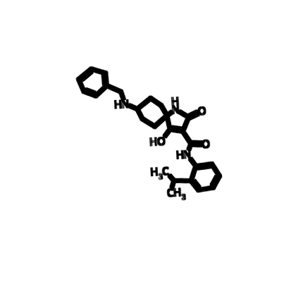 CC(C)c1ccccc1NC(=O)C1=C(O)C2(CCC(NCc3ccccc3)CC2)NC1=O